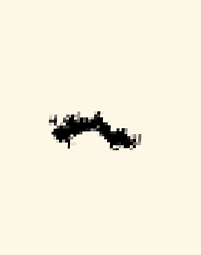 CCN(C1CCN(c2ccc3c(c2)C(=O)N(C2CCC(=O)NC2=O)C3=O)CC1)C1CC(n2cc3cc(NC(=O)c4cnn5cccnc45)c(OC(C)C)cc3n2)C1